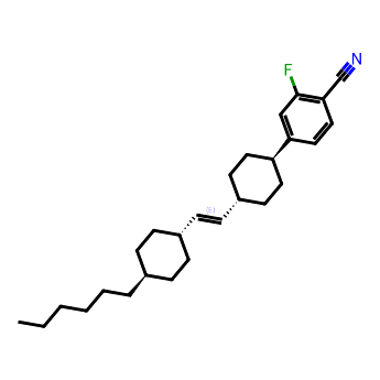 CCCCCC[C@H]1CC[C@H](/C=C/[C@H]2CC[C@H](c3ccc(C#N)c(F)c3)CC2)CC1